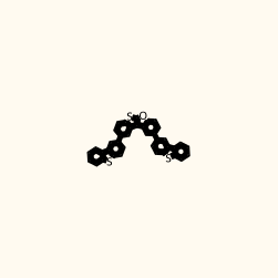 c1ccc2c(c1)sc1ccc(-c3ccc4oc5sc6ccc(-c7ccc8sc9ccccc9c8c7)cc6c5c4c3)cc12